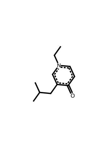 CCn1ccc(=O)c(C[C](C)C)c1